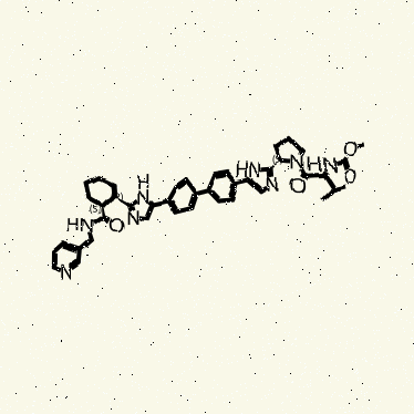 COC(=O)NC(C(=O)N1CCC[C@H]1c1ncc(-c2ccc(-c3ccc(-c4cnc([C@@H]5CCCC[C@@H]5C(=O)NCc5cccnc5)[nH]4)cc3)cc2)[nH]1)C(C)C